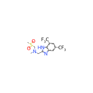 CN(Cc1nc2cc(C(F)(F)F)cc(C(F)(F)F)c2[nH]1)CS(C)(=O)=O